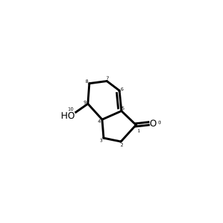 O=C1CCC2C1=CCCC2O